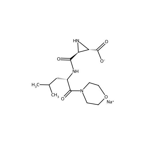 CC(C)C[C@H](NC(=O)[C@H]1N[C@@H]1C(=O)[O-])C(=O)N1CCOCC1.[Na+]